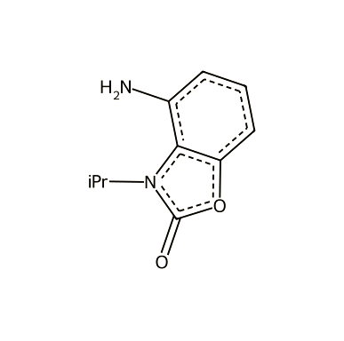 CC(C)n1c(=O)oc2cccc(N)c21